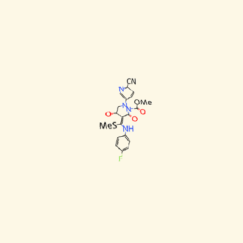 COC(=O)N1C(=O)C(=C(Nc2ccc(F)cc2)SC)C(=O)CN1c1ccc(C#N)nc1